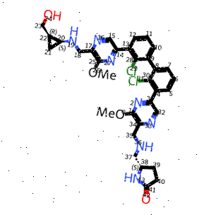 COc1nc(-c2cccc(-c3cccc(-c4cnc(CN[C@H]5C[C@H]5CO)c(OC)n4)c3Cl)c2Cl)cnc1CNC[C@@H]1CCC(=O)N1